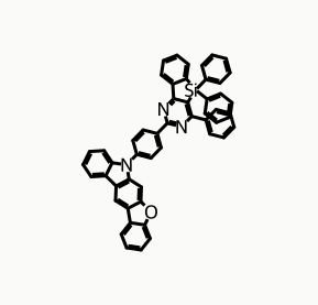 c1ccc(-c2nc(-c3ccc(-n4c5ccccc5c5cc6c(cc54)oc4ccccc46)cc3)nc3c2[Si](c2ccccc2)(c2ccccc2)c2ccccc2-3)cc1